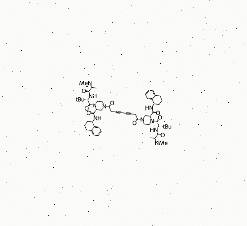 CN[C@@H](C)C(=O)N[C@H](C(=O)N1CCN(C(=O)CC#CC#CCC(=O)N2CCN(C(=O)[C@@H](NC(=O)[C@H](C)NC)C(C)(C)C)[C@H](C(=O)N[C@@H]3CCCc4ccccc43)C2)C[C@H]1C(=O)N[C@@H]1CCCc2ccccc21)C(C)(C)C